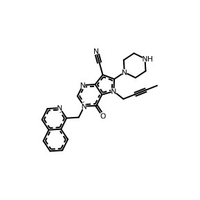 CC#CCn1c(N2CCNCC2)c(C#N)c2ncn(Cc3nccc4ccccc34)c(=O)c21